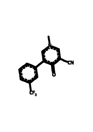 Cn1cc(C#N)c(=O)c(-c2cccc(C(F)(F)F)c2)c1